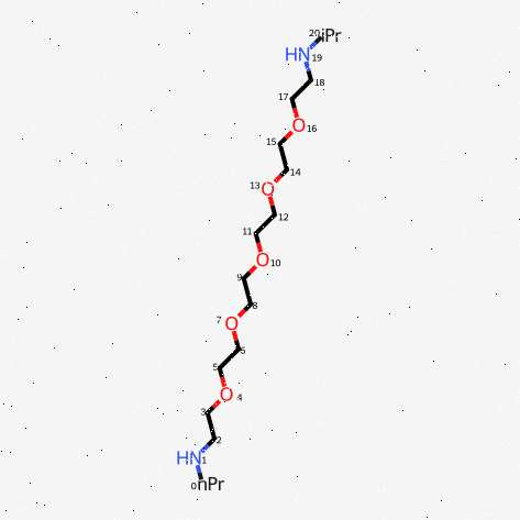 CCCNCCOCCOCCOCCOCCOCCNC(C)C